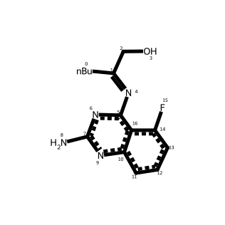 CCCC/C(CO)=N\c1nc(N)nc2cccc(F)c12